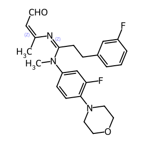 CC(=C/C=O)/N=C(/CCc1cccc(F)c1)N(C)c1ccc(N2CCOCC2)c(F)c1